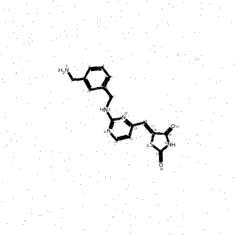 NCc1cccc(CNc2nccc(/C=C3\SC(=O)NC3=O)n2)c1